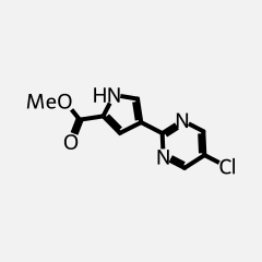 COC(=O)c1cc(-c2ncc(Cl)cn2)c[nH]1